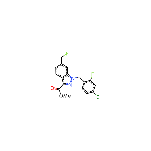 COC(=O)c1nn(Cc2ccc(Cl)cc2F)c2cc(CF)ccc12